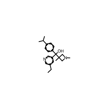 CCc1cncc(C(O)(c2ccc(C(C)C)cc2)C2(C)CN(C)C2)c1